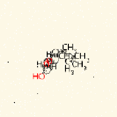 CC(C)[C@H](C)C=C[C@@H](C)[C@H]1CC[C@@H]2[C@]1(C)CC[C@H]1[C@]23C=C[C@]2(C[C@@H](O)CC[C@]12C)OO3